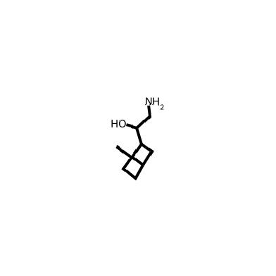 CC12CCC1CC2C(O)CN